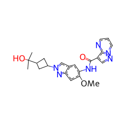 COc1cc2nn(C3CC(C(C)(C)O)C3)cc2cc1NC(=O)c1cnn2cccnc12